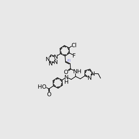 CCn1ccc(CC(CNc2ccc(C(=O)O)cc2)NC(=O)/C=C/c2c(-n3cnnn3)ccc(Cl)c2F)n1